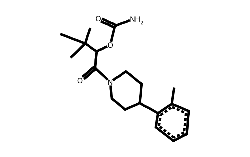 Cc1ccccc1C1CCN(C(=O)C(OC(N)=O)C(C)(C)C)CC1